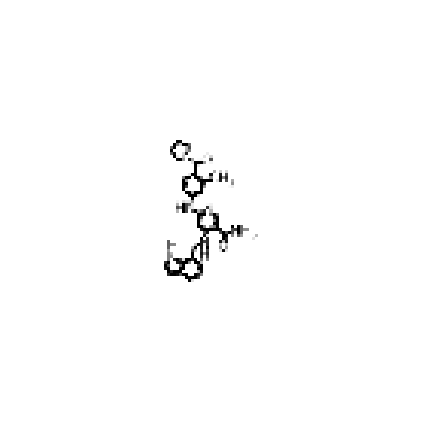 Cc1cc(Nc2cc(NCc3cccc4cc[nH]c34)c(C(N)=O)cn2)ccc1C(=O)N1CCCC1